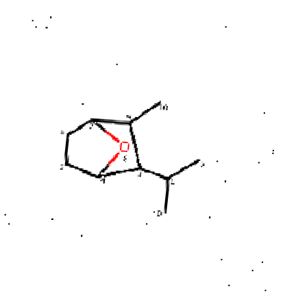 CC(C)C1C2CCC(O2)C1C